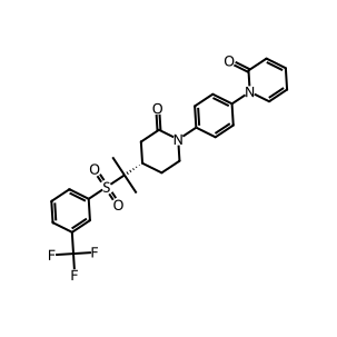 CC(C)([C@H]1CCN(c2ccc(-n3ccccc3=O)cc2)C(=O)C1)S(=O)(=O)c1cccc(C(F)(F)F)c1